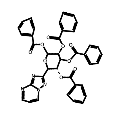 O=C(OC1OC(c2nc3ncccn3n2)[C@@H](OC(=O)c2ccccc2)C(OC(=O)c2ccccc2)[C@@H]1OC(=O)c1ccccc1)c1ccccc1